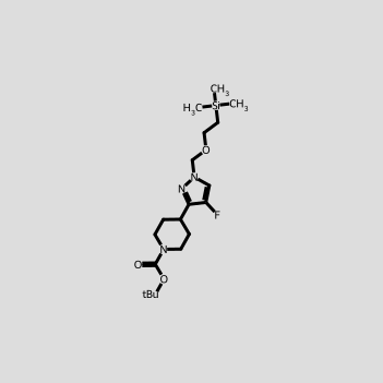 CC(C)(C)OC(=O)N1CCC(c2nn(COCC[Si](C)(C)C)cc2F)CC1